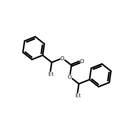 CCC(OC(=O)OC(CC)c1ccccc1)c1ccccc1